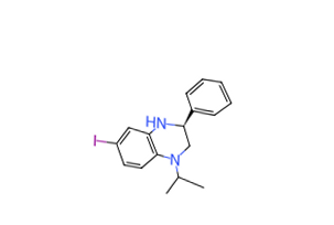 CC(C)N1C[C@H](c2ccccc2)Nc2cc(I)ccc21